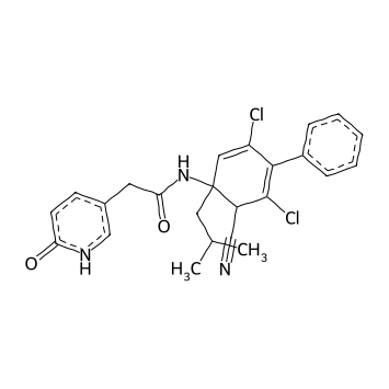 CC(C)CC1(NC(=O)Cc2ccc(=O)[nH]c2)C=C(Cl)C(c2ccccc2)=C(Cl)C1C#N